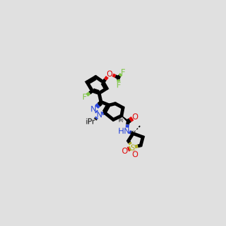 CC(C)n1nc(-c2cc(OC(F)F)ccc2F)c2c1C[C@H](C(=O)N[C@@]1(C)CCS(=O)(=O)C1)CC2